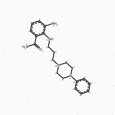 NC(=O)c1cccc(N)c1NCCCN1CCN(c2ccccc2)CC1